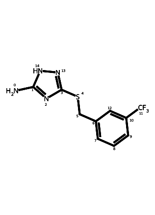 Nc1nc(SCc2cccc(C(F)(F)F)c2)n[nH]1